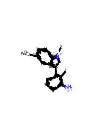 Cc1c(N)cccc1-c1cn(C)c2ccc(C#N)cc12